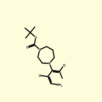 C/C(Cl)=C(\C(Cl)=C/N)N1CCCN(C(=O)OC(C)(C)C)CC1